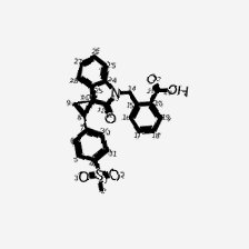 CS(=O)(=O)c1ccc([C@H]2C[C@@]23C(=O)N(Cc2ccccc2C(=O)O)c2ccccc23)cc1